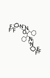 O=C(C(CN1CCN(c2cccc(C(F)(F)F)c2)CC1)C1CCCCC1)C(CN1CCN(c2cccc(C(F)(F)F)c2)CC1)C1CCCCC1